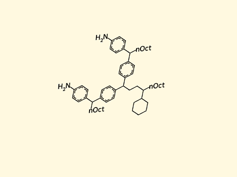 CCCCCCCCC(c1ccc(N)cc1)c1ccc(C(CCC(CCCCCCCC)C2CCCCC2)c2ccc(C(CCCCCCCC)c3ccc(N)cc3)cc2)cc1